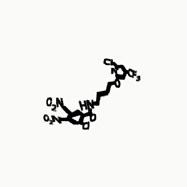 O=C(NCC=CCOc1cc(C(F)(F)F)cc(Cl)n1)c1cc([N+](=O)[O-])c([N+](=O)[O-])cc1Cl